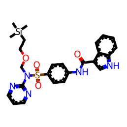 C[Si](C)(C)CCOCN(c1ncccn1)S(=O)(=O)c1ccc(NC(=O)c2c[nH]c3ccccc23)cc1